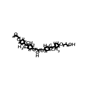 CC(C)(c1ccc(OCCCO)cc1)c1ccc(OCC(O)COc2ccc(C(C)(C)c3ccc(OCC4CO4)cc3)cc2)cc1